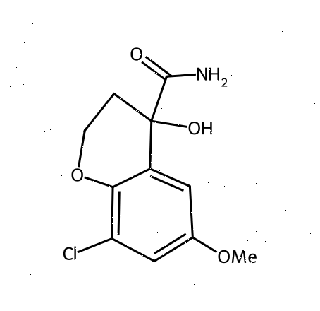 COc1cc(Cl)c2c(c1)C(O)(C(N)=O)CCO2